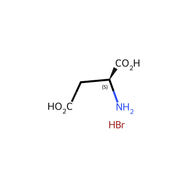 Br.N[C@@H](CC(=O)O)C(=O)O